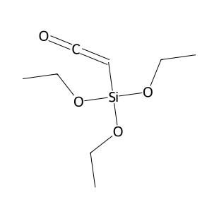 CCO[Si](C=C=O)(OCC)OCC